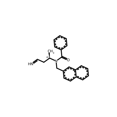 C[C@H](CC=N)N(Cc1ccc2ccccc2c1)C(=O)c1ccccc1